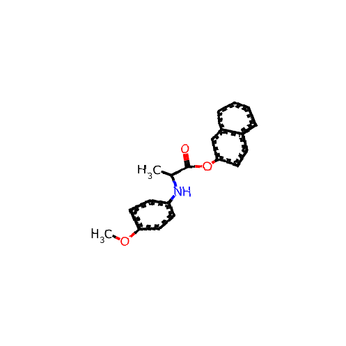 COc1ccc(NC(C)C(=O)Oc2ccc3ccccc3c2)cc1